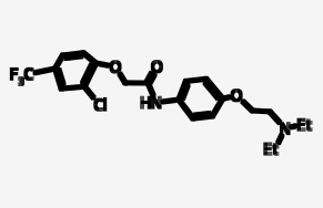 CCN(CC)CCOc1ccc(NC(=O)COc2ccc(C(F)(F)F)cc2Cl)cc1